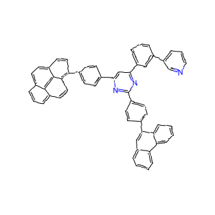 c1cncc(-c2cccc(-c3cc(-c4ccc(-c5ccc6ccc7cccc8ccc5c6c78)cc4)nc(-c4ccc(-c5cc6ccccc6c6ccccc56)cc4)n3)c2)c1